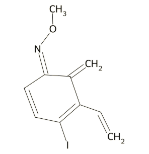 C=CC1=C(I)C=C/C(=N/OC)C1=C